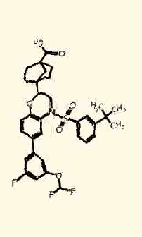 CC(C)(C)c1cccc(S(=O)(=O)N2C[C@H](C34CCC(C(=O)O)(CC3)C4)Oc3ccc(-c4cc(F)cc(OC(F)F)c4)cc32)c1